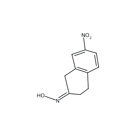 O=[N+]([O-])c1ccc2c(c1)CC(=NO)CC2